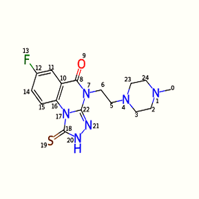 CN1CCN(CCn2c(=O)c3cc(F)ccc3n3c(=S)[nH]nc23)CC1